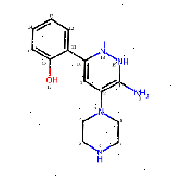 NC1=C(N2CCNCC2)C=C(c2ccccc2O)NN1